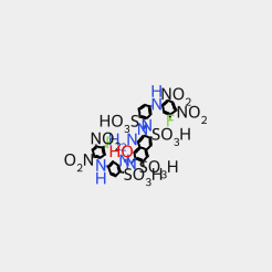 Nc1c(/N=N/c2cc(Nc3cc(F)c([N+](=O)[O-])cc3[N+](=O)[O-])ccc2S(=O)(=O)O)c(S(=O)(=O)O)cc2cc(S(=O)(=O)O)c(/N=N/c3cc(Nc4cc(F)c([N+](=O)[O-])cc4[N+](=O)[O-])ccc3S(=O)(=O)O)c(O)c12